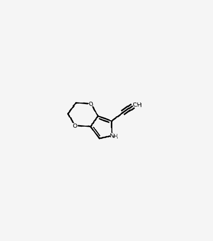 C#Cc1[nH]cc2c1OCCO2